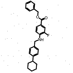 O=C(OCc1ccccc1)c1ccc(NCc2ccc(C3CCCCC3)cc2)c(F)c1